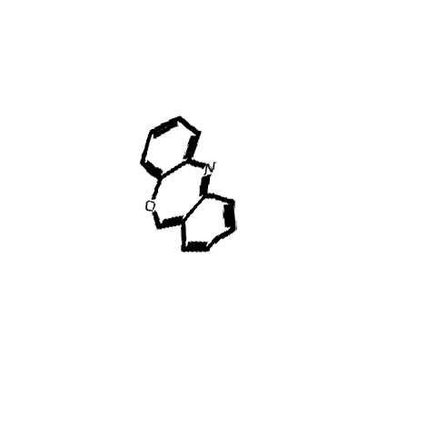 C1=c2ccccc2=Nc2ccccc2O1